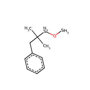 CC(C)(Cc1ccccc1)[SiH2]O[SiH3]